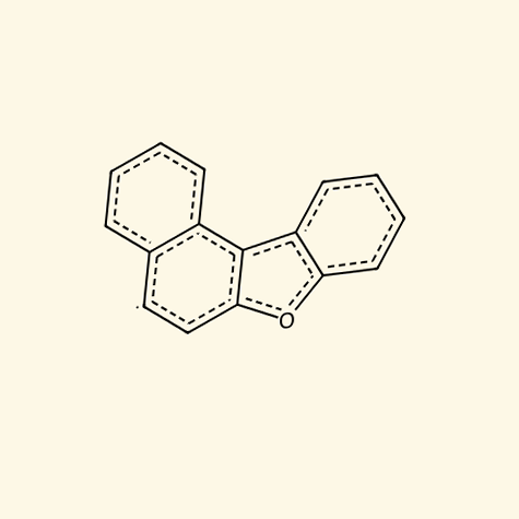 [c]1cc2oc3ccccc3c2c2ccccc12